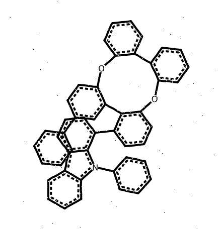 c1ccc(-c2ccc3c(c2)-c2c(cccc2-c2cccc4c5ccccc5n(-c5ccccc5)c24)Oc2ccccc2-c2ccccc2O3)cc1